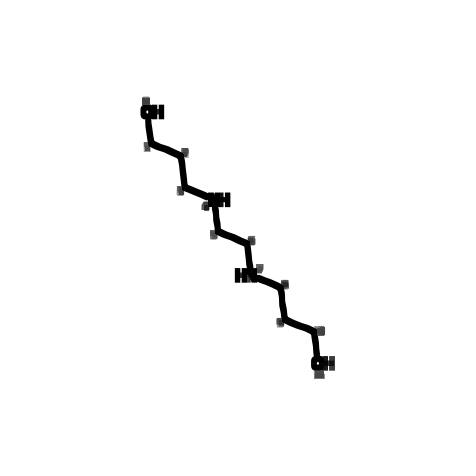 OCCCNCCNCCCO